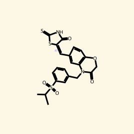 CC(C)S(=O)(=O)c1cccc(CN2C(=O)COc3ccc(/C=C4/SC(=S)NC4=O)cc32)c1